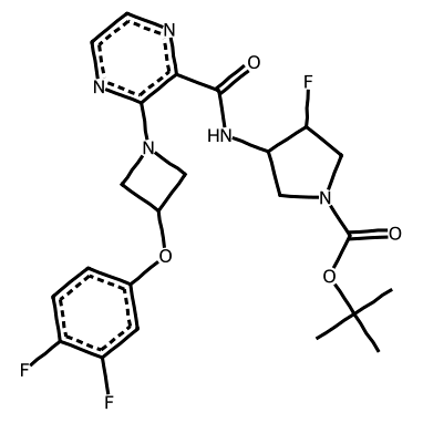 CC(C)(C)OC(=O)N1CC(F)C(NC(=O)c2nccnc2N2CC(Oc3ccc(F)c(F)c3)C2)C1